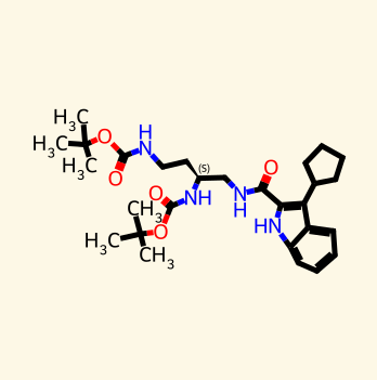 CC(C)(C)OC(=O)NCC[C@@H](CNC(=O)c1[nH]c2ccccc2c1C1CCCC1)NC(=O)OC(C)(C)C